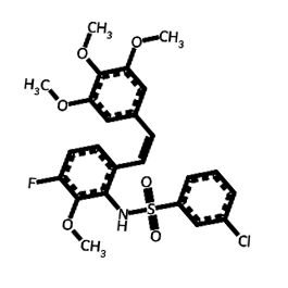 COc1cc(/C=C\c2ccc(F)c(OC)c2NS(=O)(=O)c2cccc(Cl)c2)cc(OC)c1OC